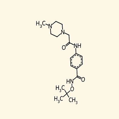 CN1CCN(CC(=O)Nc2ccc(C(=O)NOC(C)(C)C)cc2)CC1